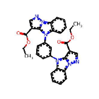 CCOC(=O)c1cnn2c3ccccc3n(-c3cccc(-n4c5ccccc5n5ncc(C(=O)OCC)c45)c3)c12